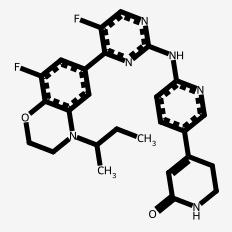 CCC(C)N1CCOc2c(F)cc(-c3nc(Nc4ccc(C5=CC(=O)NCC5)cn4)ncc3F)cc21